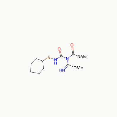 CNC(=O)N(C(=N)OC)C(=O)NSC1CCCCC1